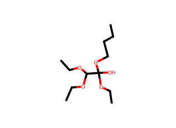 CCCCOC(O)(OCC)C(OCC)OCC